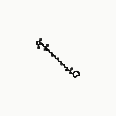 O=C(CCN1C(=O)C=CC1=O)NCCCOCCOCCOCCCNC(=O)OC1CC/C=C/CCC1